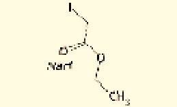 CCOC(=O)CI.[NaH]